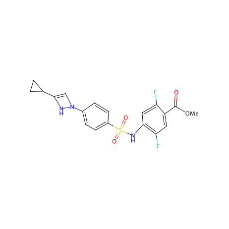 COC(=O)c1cc(F)c(NS(=O)(=O)c2ccc(-n3cc(C4CC4)[nH]3)cc2)cc1F